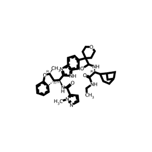 CCNC(=O)[C@H](NC(O)C1(c2ccc3nc([C@@H](NC(=O)c4ccnn4C)[C@@H]4c5ccccc5O[C@@H]4C)[nH]c3c2)CCOCC1)C1CCC2CC1C2